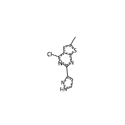 Cc1cc2c(Cl)nc(-c3cc[nH]n3)nc2s1